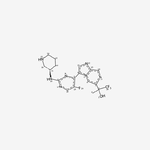 CC(O)(c1cn2c(-c3nc(N[C@@H]4CCCNC4)ncc3F)cnc2cn1)C(F)(F)F